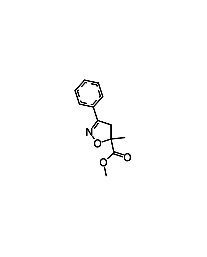 COC(=O)C1(C)CC(c2ccccc2)=NO1